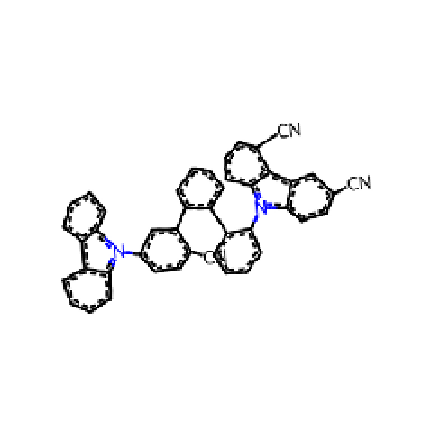 N#Cc1ccc2c(c1)c1c(C#N)cccc1n2-c1ccccc1-c1ccccc1-c1cc(-n2c3ccccc3c3ccccc32)ccc1C#N